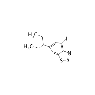 CCC(CC)c1cc(I)c2ncsc2c1